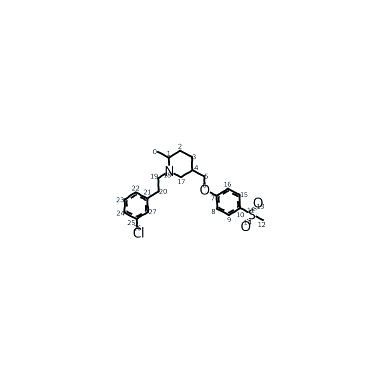 CC1CCC(COc2ccc(S(C)(=O)=O)cc2)CN1CCc1cccc(Cl)c1